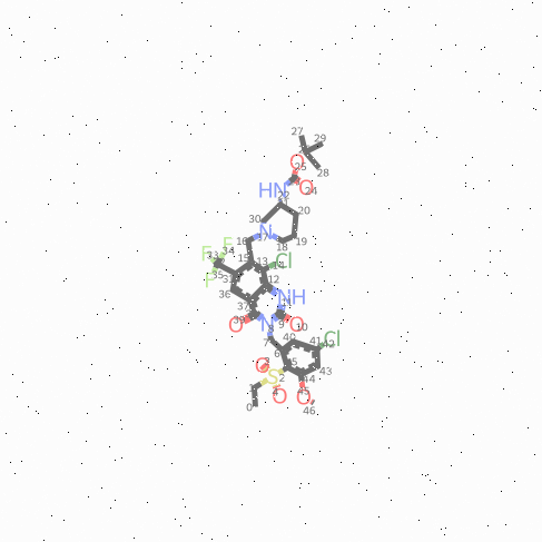 CCS(=O)(=O)c1c(Cn2c(=O)[nH]c3c(Cl)c(CN4CCC[C@@H](NC(=O)OC(C)(C)C)C4)c(C(F)(F)F)cc3c2=O)cc(Cl)cc1OC